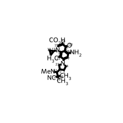 CNC(C1CCN(c2cc(N)c3c(=O)c(C(=O)O)cn(C4CC4)c3c2C)C1)C(C)(C)C#N